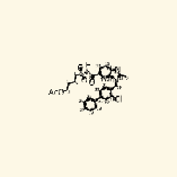 CC(=O)OCCCCS(=O)(=O)NC(=O)c1ccc2nc(C)n(Cc3ccc(-c4ccccc4)cc3Cl)c2n1